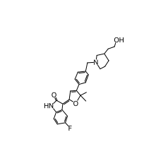 CC1(C)O/C(=C2/C(=O)Nc3ccc(F)cc32)C=C1c1ccc(CN2CCCC(CCO)C2)cc1